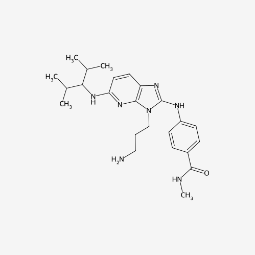 CNC(=O)c1ccc(Nc2nc3ccc(NC(C(C)C)C(C)C)nc3n2CCCN)cc1